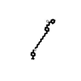 C=C(C)c1ccc(COCCCCCCCCCCCCc2ccc(C=CC(=O)c3ccccc3)cc2)cc1